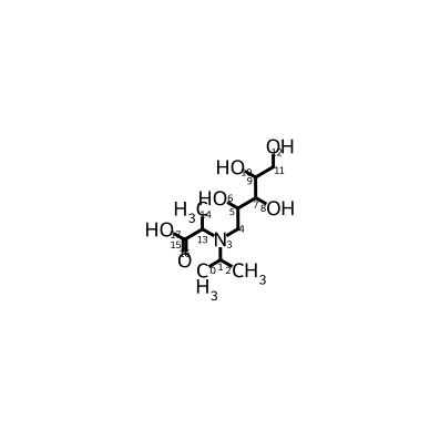 CC(C)N(CC(O)C(O)C(O)CO)C(C)C(=O)O